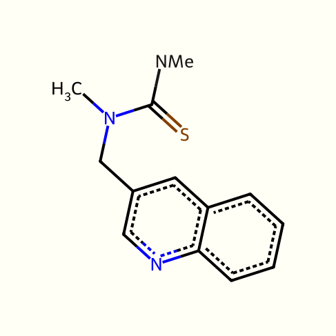 CNC(=S)N(C)Cc1cnc2ccccc2c1